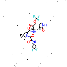 O=C(NC1CC(F)(F)C1)C(=O)N1CC2(CC2)CC1C(=O)N[C@@H](C[C@@H]1CCNC1=O)C(=O)COC(F)(F)F